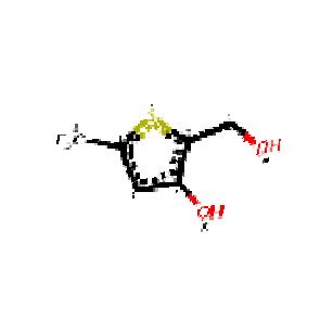 OCc1sc(C(F)(F)F)cc1O